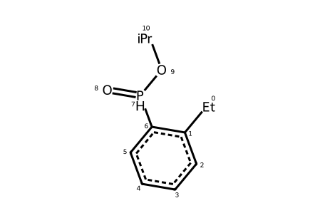 CCc1ccccc1[PH](=O)OC(C)C